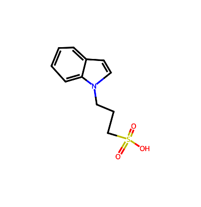 O=S(=O)(O)CCCn1ccc2ccccc21